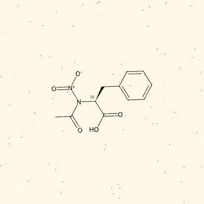 CC(=O)N([C@@H](Cc1ccccc1)C(=O)O)[N+](=O)[O-]